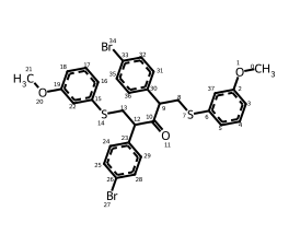 COc1cccc(SCC(C(=O)C(CSc2cccc(OC)c2)c2ccc(Br)cc2)c2ccc(Br)cc2)c1